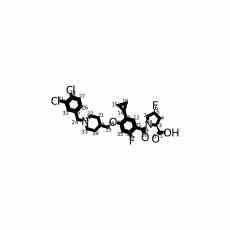 O=C(O)[C@@H]1C[C@@H](F)CN1C(=O)c1cc(C2CC2)c(OCC2CCN(Cc3ccc(Cl)c(Cl)c3)CC2)cc1F